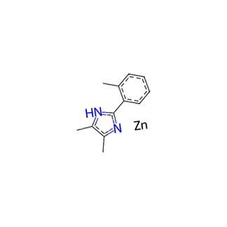 Cc1ccccc1-c1nc(C)c(C)[nH]1.[Zn]